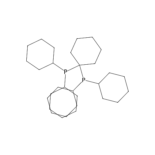 C1CCC(P(C2CCCCC2)C2(P(C3CCCCC3)C3CCCCC3)CCCCC2)CC1